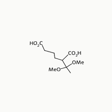 COC(C)(OC)C(CCCC(=O)O)C(=O)O